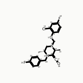 C[C@@H]1CN(COc2ccc(F)cc2Cl)[C@@H](C)C(=C=O)N1Cc1ccc(F)cc1